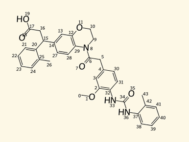 COc1cc(CC(=O)N2CCOc3cc(C(CC(=O)O)c4ccccc4C)ccc32)ccc1NC(=O)Nc1ccccc1C